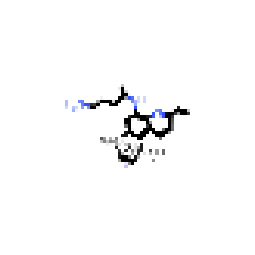 C=Cc1ccc2cc(OC)cc(NC(C)CCCN)c2n1.O=C(O)/C=C\C(=O)O